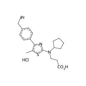 Cc1sc(N(CCC(=O)O)C2CCCC2)nc1-c1ccc(CC(C)C)cc1.Cl